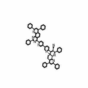 CC12C=Cc3c(-c4ccccc4)cc(-c4ccccc4)nc3C1N=C(c1ccccc1)C(C#N)=C2c1ccc(-c2ccc(-c3nc(-c4ccccc4)nc4c3ccc3c(-c5ccccc5)cc(-c5ccccc5)nc34)nc2)cn1